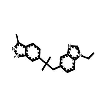 CCn1cnc2cc(CC(C)(C)c3ccc4c(C)n[nH]c4c3)ccc21